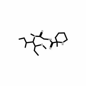 CCC(C)C(C(CC)OC)N(C)C(=O)CNC(=O)C1(C)CCCCN1